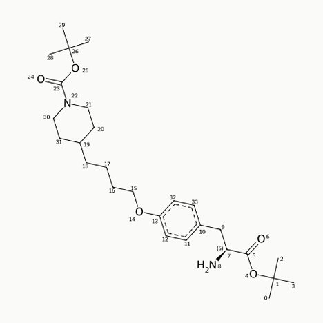 CC(C)(C)OC(=O)[C@@H](N)Cc1ccc(OCCCCC2CCN(C(=O)OC(C)(C)C)CC2)cc1